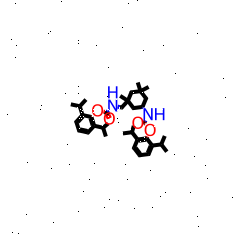 CC(C)c1cccc(C(C)C)c1OC(=O)NCC1(C)CC(NC(=O)Oc2c(C(C)C)cccc2C(C)C)CC(C)(C)C1